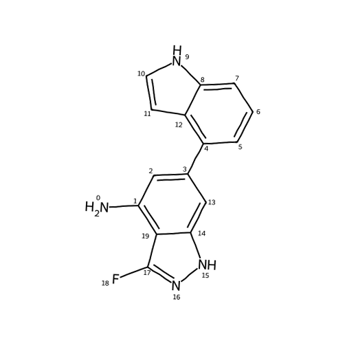 Nc1cc(-c2cccc3[nH]ccc23)cc2[nH]nc(F)c12